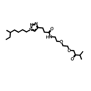 CCC(C)CCCCn1cc(CCC(=O)NCCOCCOCC(=O)C(C)C)nn1